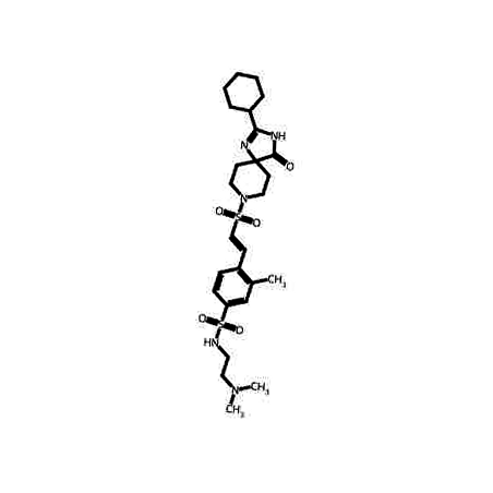 Cc1cc(S(=O)(=O)NCCN(C)C)ccc1C=CS(=O)(=O)N1CCC2(CC1)N=C(C1CCCCC1)NC2=O